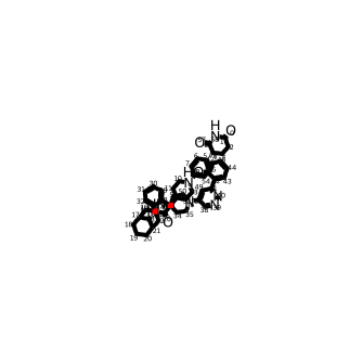 O=C1CC[C@H](c2ccc(N3CCC(CNC4CC5CCCC(C4)C5NC(=O)C4(c5ccccc5)CCN(c5cnnc(-c6ccccc6O)c5)CC4)CC3)cc2)C(=O)N1